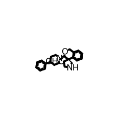 O=C[C@@H]1CNC[C@@]12c1ccccc1COC2N1CCC(c2ccccc2)CC1